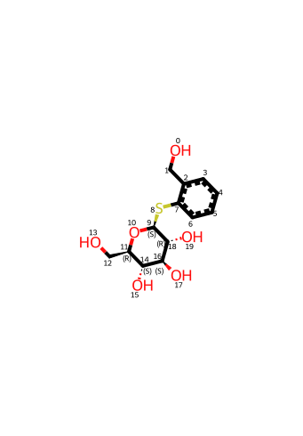 OCc1ccccc1S[C@@H]1O[C@H](CO)[C@@H](O)[C@H](O)[C@H]1O